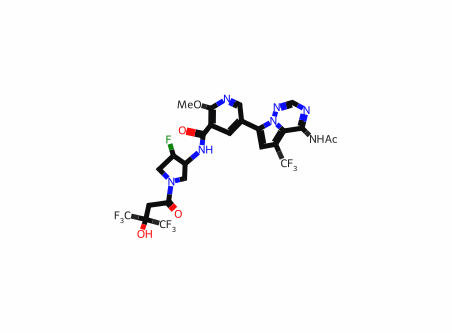 COc1ncc(-c2cc(C(F)(F)F)c3c(NC(C)=O)ncnn23)cc1C(=O)NC1CN(C(=O)CC(O)(C(F)(F)F)C(F)(F)F)CC1F